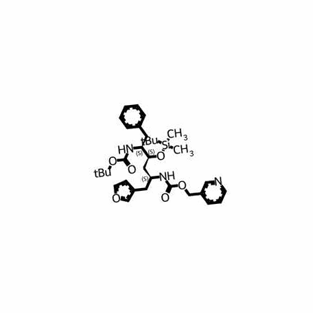 CC(C)(C)OC(=O)N[C@@H](Cc1ccccc1)[C@H](C[C@H](Cc1ccoc1)NC(=O)OCc1cccnc1)O[Si](C)(C)C(C)(C)C